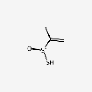 C=C(C)[S+]([O-])S